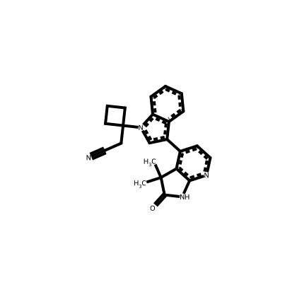 CC1(C)C(=O)Nc2nccc(-c3cn(C4(CC#N)CCC4)c4ccccc34)c21